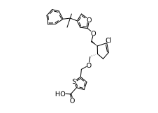 CC(C)(c1ccccc1)c1coc(OC[C@H]2C(Cl)=CC[C@@H]2COCc2ccc(C(=O)O)s2)c1